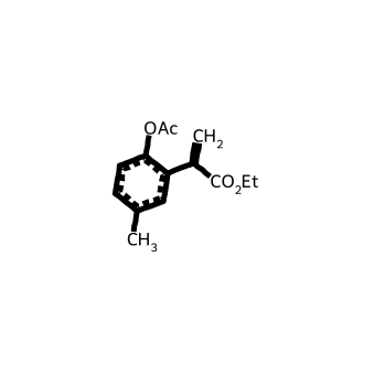 C=C(C(=O)OCC)c1cc(C)ccc1OC(C)=O